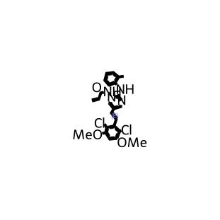 C=CC(=O)Nc1cccc(C)c1Nc1ncc(/C=C/c2c(Cl)c(OC)cc(OC)c2Cl)cn1